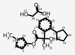 Cn1ccc(OC(=O)C(C)(O)c2ccccc2C2CCCC2)c1.O=C(O)CO